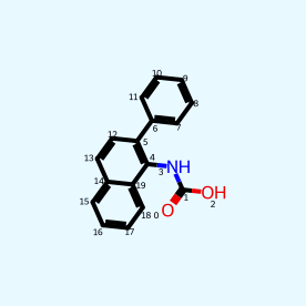 O=C(O)Nc1c(-c2ccccc2)ccc2ccccc12